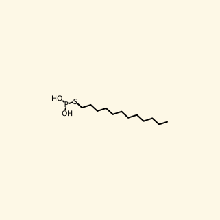 CCCCCCCCCCCCSP(O)O